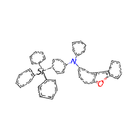 c1ccc(N(c2ccc([Si](c3ccccc3)(c3ccccc3)c3ccccc3)cc2)c2ccc3oc4ccccc4c3c2)cc1